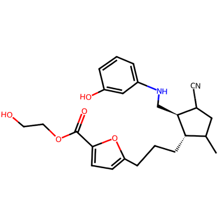 CC1CC(C#N)[C@H](CNc2cccc(O)c2)[C@H]1CCCc1ccc(C(=O)OCCO)o1